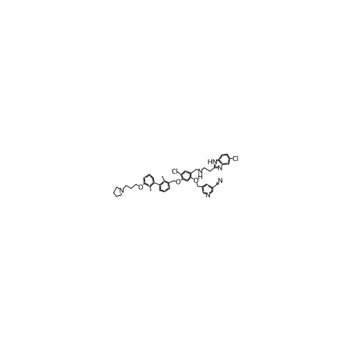 Cc1c(COc2cc(OCc3cncc(C#N)c3)c(CNCCc3nc4cc(Cl)ccc4[nH]3)cc2Cl)cccc1-c1cccc(OCCCN2CCCC2)c1C